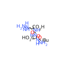 CC[C@H](C)[C@H](N)C(=O)N[C@@H](CC(=O)O)C(=O)NCC(=O)N[C@@H](CCCNC(=N)N)C(=O)O